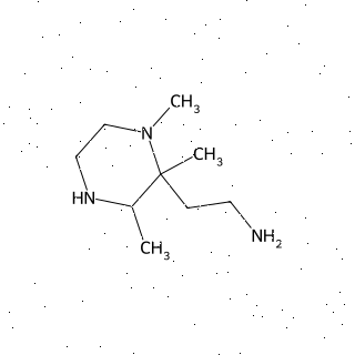 CC1NCCN(C)C1(C)CCN